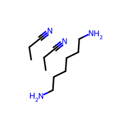 CCC#N.CCC#N.NCCCCCCN